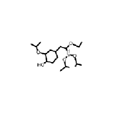 CCOC(CC1CCC(O)C(OC(C)C)C1)[SiH](OC(C)C)OC(C)C